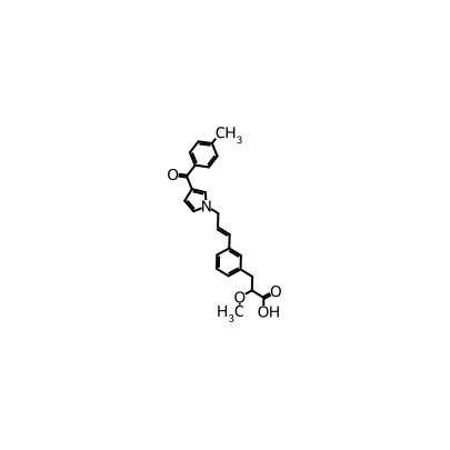 COC(Cc1cccc(/C=C/Cn2ccc(C(=O)c3ccc(C)cc3)c2)c1)C(=O)O